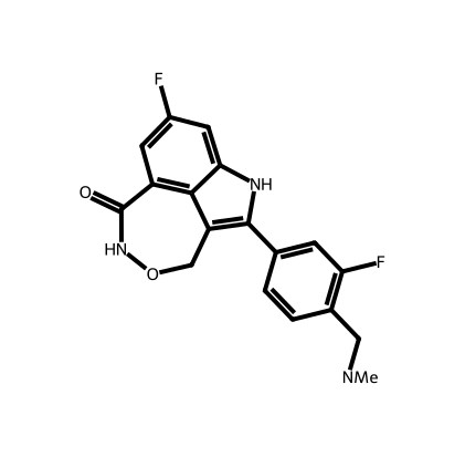 CNCc1ccc(-c2[nH]c3cc(F)cc4c3c2CONC4=O)cc1F